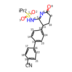 CC(C)S(=O)(=O)NC1=NC(=O)CCC1c1ccc(-c2ccc(C#N)cc2)cc1